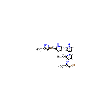 N[C@@H](CS)C(=O)O.N[C@@H](CS)C(=O)O.O=C(O)[C@@H]1CCCN1.O=C(O)[C@@H]1CCCN1.O=C(O)[C@@H]1CCCN1